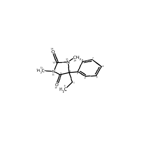 CCC1(c2ccccc2)C(=O)N(C)C(=O)N1C